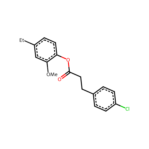 CCc1ccc(OC(=O)CCc2ccc(Cl)cc2)c(OC)c1